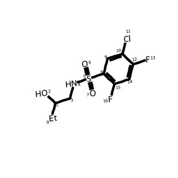 CCC(O)CNS(=O)(=O)c1cc(Cl)c(F)cc1F